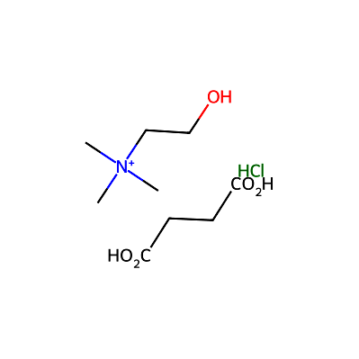 C[N+](C)(C)CCO.Cl.O=C(O)CCC(=O)O